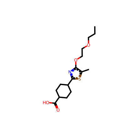 CCCOCCOc1nc(C2CCC(C(=O)O)CC2)sc1C